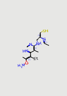 C=N/C(NCC(=C/S)/N=C/C)=C(/C)C(=N)/C(CC)=C(\C)ON